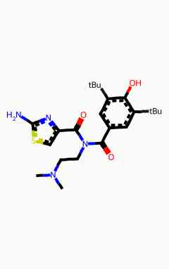 CN(C)CCN(C(=O)c1cc(C(C)(C)C)c(O)c(C(C)(C)C)c1)C(=O)c1csc(N)n1